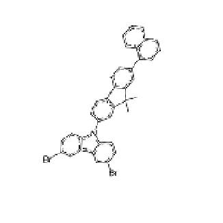 CC1(C)c2cc(-c3cccc4ccccc34)ccc2-c2ccc(-n3c4ccc(Br)cc4c4cc(Br)ccc43)cc21